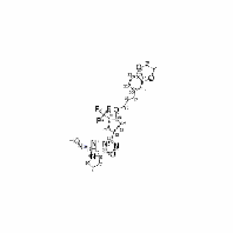 N/C(=N\O)N1CCC[C@H]1c1nc(-c2ccc(OCCCc3ccc4c(c3)OCCO4)c(C(F)(F)F)c2)no1